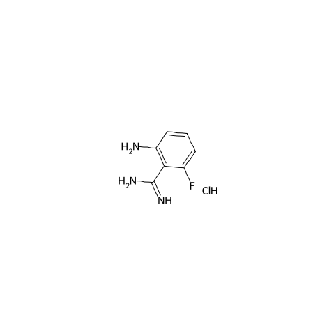 Cl.N=C(N)c1c(N)cccc1F